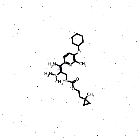 Cc1nc(/C(N)=C(\CNC(=O)OCCC2(C)CC2)N(C)N)ccc1OC1CCCCC1